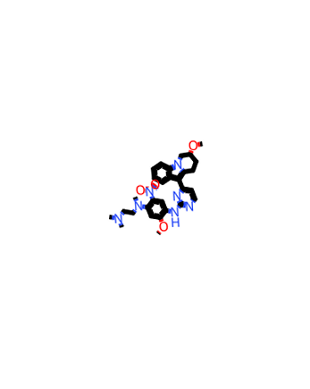 COc1cc(N(C)CCN(C)C)c([N+](=O)[O-])cc1Nc1nccc(-c2c3n(c4ccccc24)CC(OC)CC3)n1